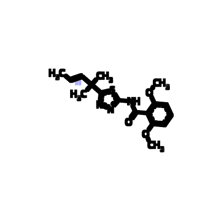 C/C=C/C(C)(C)c1nnc(NC(=O)c2c(OC)cccc2OC)s1